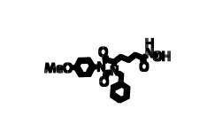 COc1ccc(N2C(=O)C(CCCC(=O)NO)N(Cc3ccccc3)C2=O)cc1